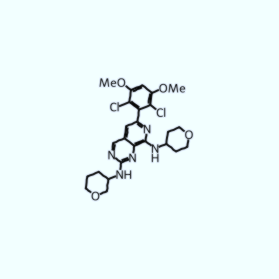 COc1cc(OC)c(Cl)c(-c2cc3cnc(NC4CCCOC4)nc3c(NC3CCOCC3)n2)c1Cl